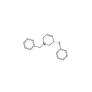 C1=C[C@H](Sc2ccccc2)CN(Cc2ccccc2)C1